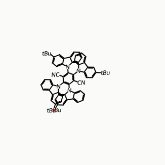 CC(C)(C)c1ccc2c(c1)c1ccccc1n2-c1c(C#N)c(-n2c3ccccc3c3cc(C(C)(C)C)ccc32)c(-n2c3ccccc3c3cc(C(C)(C)C)ccc32)c(C#N)c1-n1c2ccccc2c2cc(C(C)(C)C)ccc21